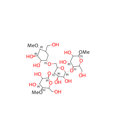 CO[C@H]1OC(CO)[C@@H](O[C@H]2OC(CO[C@H]3CC(CO)[C@@H](OC)[C@H](O)C3O)[C@@H](O[C@H]3OC(CO)[C@@H](OC)[C@H](O)C3O)[C@H](O)C2O)[C@H](O)C1O